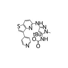 Cn1nc(Nc2ccc3scc(-c4ccncc4)c3n2)cc1NC(=O)OC(C)(C)C